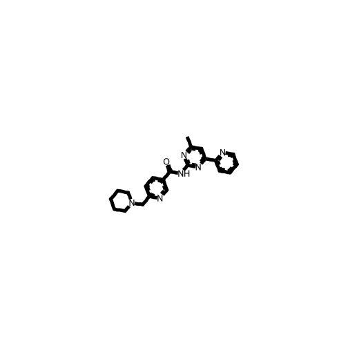 Cc1cc(-c2ccccn2)nc(NC(=O)c2ccc(CN3CCCCC3)nc2)n1